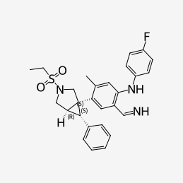 CCS(=O)(=O)N1C[C@@H]2[C@@H](c3ccccc3)[C@]2(c2cc(C=N)c(Nc3ccc(F)cc3)cc2C)C1